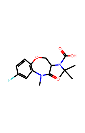 CN1C(=O)C(N(C(=O)O)C(C)(C)C)COc2ccc(F)cc21